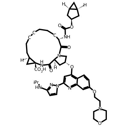 CC(C)Nc1ccn(-c2cc(O[C@@H]3C[C@H]4C(=O)N[C@]5(C(=O)O)C[C@H]5CCCCCCC[C@H](NC(=O)O[C@@H]5C[C@@H]6C[C@@H]6C5)C(=O)N4C3)c3ccc(OCCN4CCOCC4)cc3n2)n1